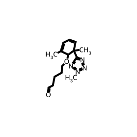 CC1=CC=CC(C)(c2nnn(C)n2)C1OCCCCC=O